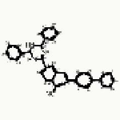 N#CC1=CC(c2ccc(-c3ccccc3)cc2)=CC2=CC(C3=NC(c4ccccc4)NC(c4ccccc4)N3)=CCC12